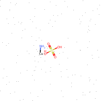 O=S(=O)(O)O.[NH2][Cu]